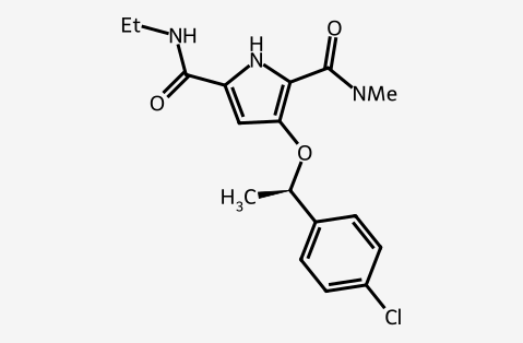 CCNC(=O)c1cc(O[C@H](C)c2ccc(Cl)cc2)c(C(=O)NC)[nH]1